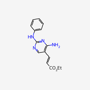 CCOC(=O)C=Cc1cnc(Nc2ccccc2)nc1N